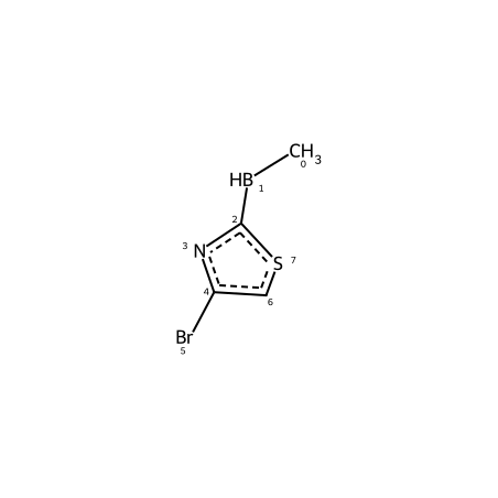 CBc1nc(Br)cs1